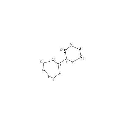 C1CCCC(C2CSCCS2)CC1